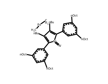 CCCCCCCCc1cc(CCCCCCCC)cc(C2=C(CCCC)C(CCCC)=C(c3cc(CCCCCCCC)cc(CCCCCCCC)c3)[N+]2=[N-])c1.[CH3][Pd][CH3]